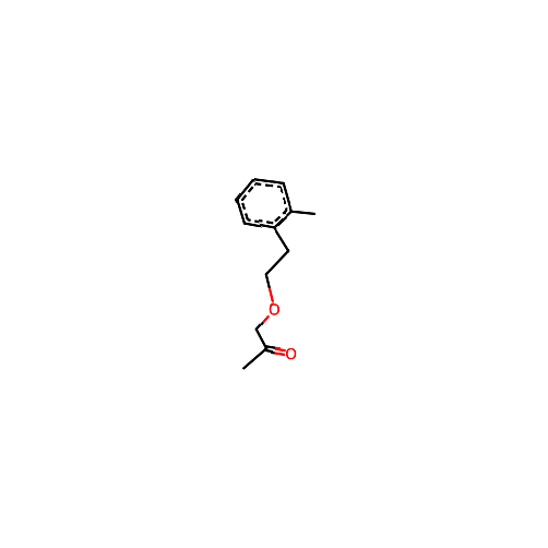 CC(=O)COCCc1ccccc1C